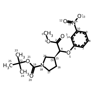 COC(=O)C(Oc1cccc([N+](=O)[O-])c1)[C@H]1CCN(C(=O)OC(C)(C)C)C1